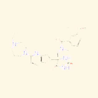 CCN1CCCN(c2ccc3oc([C@]4(CN5Cc6ccc(OC)c(F)c6C5=O)NC(=O)NC4=O)cc3n2)CC1